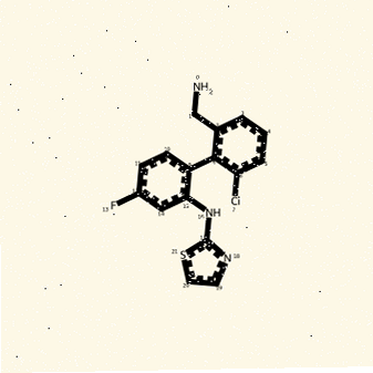 NCc1cccc(Cl)c1-c1ccc(F)cc1Nc1nccs1